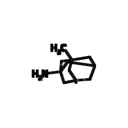 CC12C[C]3CC(C1)CC(N)(C3)C2